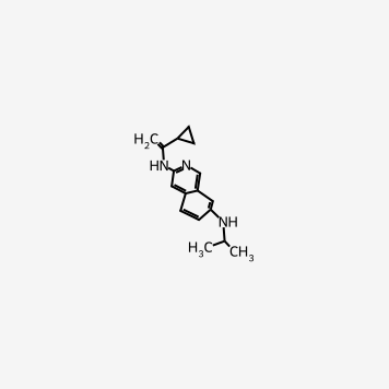 C=C(Nc1cc2ccc(NC(C)C)cc2cn1)C1CC1